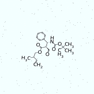 C=CC(C)COC(=O)[C@H](C=O)[C@@H](NC(=O)OC(C)(C)C)c1ccccc1